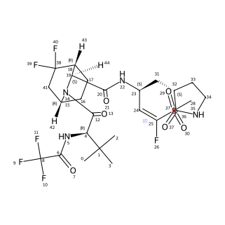 CC(C)(C)[C@@H](NC(=O)C(F)(F)F)C(=O)N1[C@@H]2CC[C@H]([C@H]1C(=O)N[C@H](/C=C(/F)S(C)(=O)=O)C[C@@H]1CCNC1=O)C(F)(F)C2